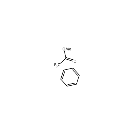 COC(=O)C(F)(F)F.c1ccccc1